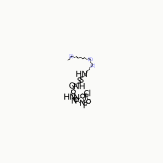 CC/C=C\CC=CCC=CC/C=C\C/C=C\CCCCNCCSSCCNC(=O)c1ccc(Nc2ncc3c(n2)-c2ccc(Cl)cc2C(c2c(F)cccc2F)=NC3)cc1